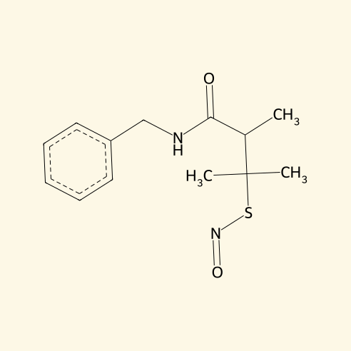 CC(C(=O)NCc1ccccc1)C(C)(C)SN=O